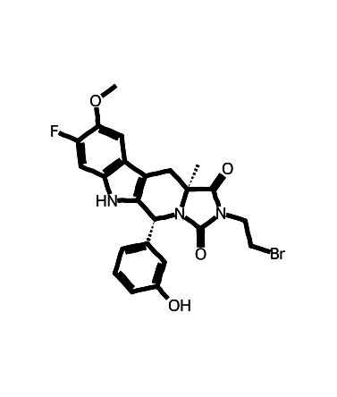 COc1cc2c3c([nH]c2cc1F)[C@@H](c1cccc(O)c1)N1C(=O)N(CCBr)C(=O)[C@]1(C)C3